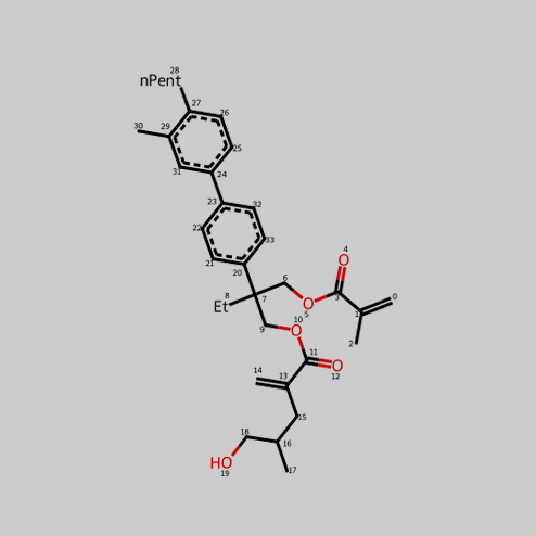 C=C(C)C(=O)OCC(CC)(COC(=O)C(=C)CC(C)CO)c1ccc(-c2ccc(CCCCC)c(C)c2)cc1